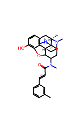 Cc1cccc(/C=C/C(=O)N(C)C2CC[C@@]3(N(C)C)[C@H]4Cc5ccc(O)c6c5[C@@]3(CCN4C)C2O6)c1